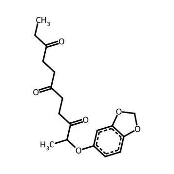 CCC(=O)CCC(=O)CCC(=O)C(C)Oc1ccc2c(c1)OCO2